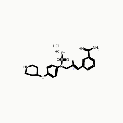 CCS(=O)(=O)N(C/C(C)=C/c1cccc(C(=N)N)c1)c1ccc(OC2CCNCC2)cc1.Cl.Cl